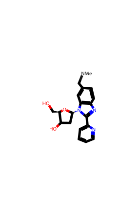 CNCc1ccc2nc(-c3ccccn3)n([C@@H]3CC(O)[C@@H](CO)O3)c2c1